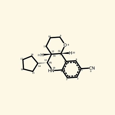 N#Cc1ccc2c(c1)[C@H]1OCCC[C@H]1[C@@H](C1CCCC1)N2